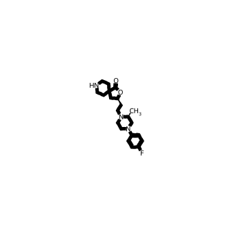 C[C@@H]1CN(c2ccc(F)cc2)CCN1CC[C@H]1CC2(CCNCC2)C(=O)O1